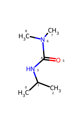 CC(C)NC(=O)N(C)C